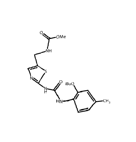 COC(=O)NCc1cnc(NC(=O)Nc2ccc(C)cc2OCC(C)C)s1